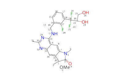 CO[C@@]1(C)C(=O)N(C)c2cc3c(N[C@H](C)c4cccc(C(F)(F)[C@](C)(O)CO)c4F)nc(C)nc3cc21